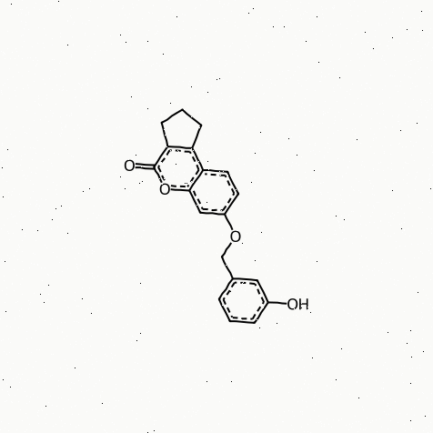 O=c1oc2cc(OCc3cccc(O)c3)ccc2c2c1CCC2